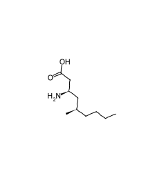 CCCC[C@@H](C)C[C@@H](N)CC(=O)O